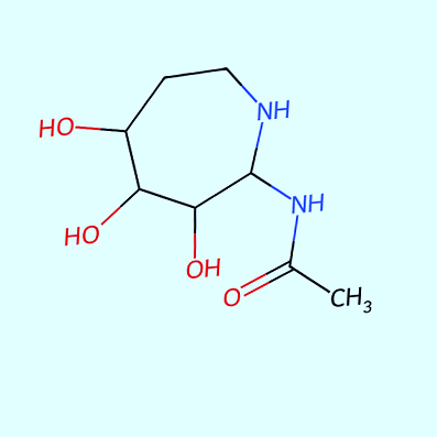 CC(=O)NC1NCCC(O)C(O)C1O